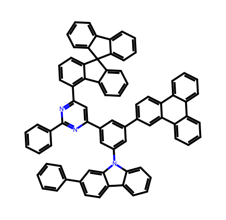 c1ccc(-c2ccc3c4ccccc4n(-c4cc(-c5ccc6c7ccccc7c7ccccc7c6c5)cc(-c5cc(-c6cccc7c6-c6ccccc6C76c7ccccc7-c7ccccc76)nc(-c6ccccc6)n5)c4)c3c2)cc1